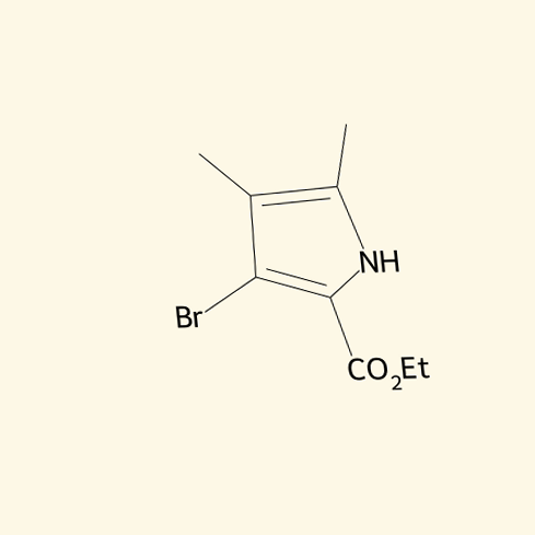 CCOC(=O)c1[nH]c(C)c(C)c1Br